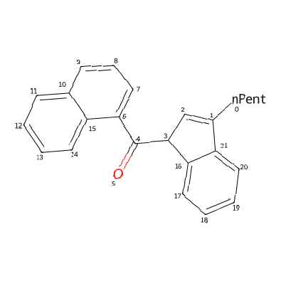 CCCCCC1=CC(C(=O)c2cccc3ccccc23)c2ccccc21